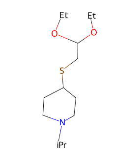 CCOC(CSC1CCN(C(C)C)CC1)OCC